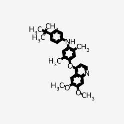 COc1cc2nccc(Oc3cc(C)c(Nc4ccc(C(C)(C)C)cc4)cc3C)c2cc1OC